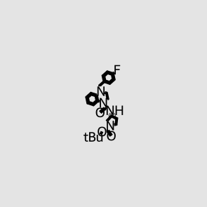 CC(C)(C)OC(=O)N1CC[C@@H](NC(=O)N2CCN(Cc3ccc(F)cc3)c3ccccc32)C1